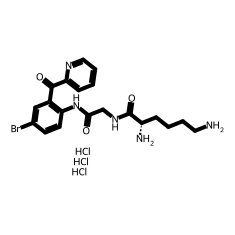 Cl.Cl.Cl.NCCCC[C@H](N)C(=O)NCC(=O)Nc1ccc(Br)cc1C(=O)c1ccccn1